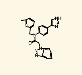 Cc1cccc(CN(C(=O)Cn2nnc3ccccc32)c2ccc(-c3c[nH]cn3)cc2)n1